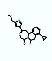 COCc1cn(C2=NCC(=O)N3C(F)Cc4c(C5CC5)cccc4C3C2)cn1